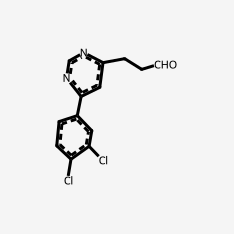 O=CCCc1cc(-c2ccc(Cl)c(Cl)c2)ncn1